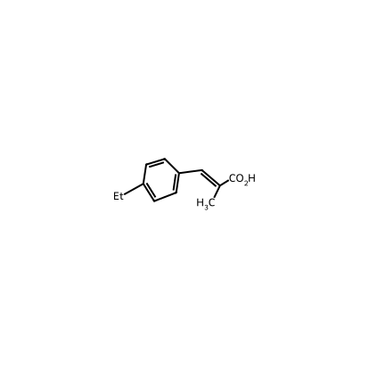 CCc1ccc(/C=C(\C)C(=O)O)cc1